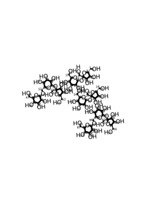 OC[C@H]1O[C@@](CO)(O[C@H]2O[C@H](CO)[C@@H](O)[C@H](O)[C@H]2O)[C@@H](O)[C@@H]1O.OC[C@H]1O[C@@](CO)(O[C@H]2O[C@H](CO)[C@@H](O)[C@H](O)[C@H]2O)[C@@H](O)[C@@H]1O.OC[C@H]1O[C@H](OC[C@H]2O[C@H](O[C@]3(CO)O[C@H](CO)[C@@H](O)[C@@H]3O)[C@H](O)[C@@H](O)[C@@H]2O)[C@H](O)[C@@H](O)[C@H]1O.OC[C@H]1O[C@H](OC[C@H]2O[C@H](O[C@]3(CO)O[C@H](CO)[C@@H](O)[C@@H]3O)[C@H](O)[C@@H](O)[C@@H]2O)[C@H](O)[C@@H](O)[C@H]1O